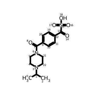 CC(C)N1CCN(C(=O)c2ccc(C(=O)S(=O)(=O)O)cc2)CC1